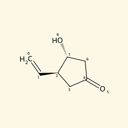 C=C[C@@H]1CC(=O)C[C@H]1O